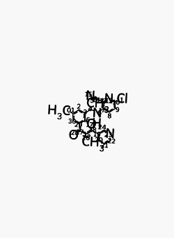 Cc1cc([C@@H](C)Nc2ccc(Cl)nc2C#N)c2oc(-c3cccnc3)c(C)c(=O)c2c1